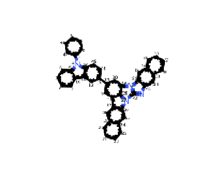 c1ccc(-n2c3ccccc3c3cc(-c4cc5c6cc7ccccc7cc6n6c5c(c4)n4c5cc7ccccc7cc5nc46)ccc32)cc1